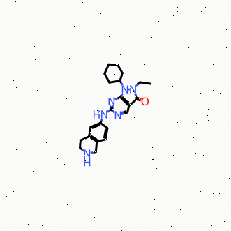 CCn1c(=O)c2cnc(Nc3ccc4c(c3)CCNC4)nc2n1C1CCCCC1